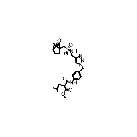 COC(=O)C(CC(C)C)C(=O)Nc1ccc(Cn2cc(CNS(=O)(=O)CC34CCC(CC3=O)C4(C)C)nn2)cc1